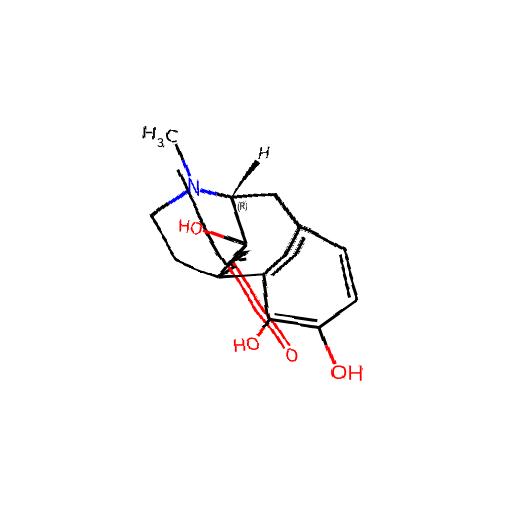 CN1CCC23CC(=O)C=CC2(O)[C@H]1Cc1ccc(O)c(O)c13